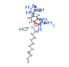 CCCCCCCCCCCCOc1ccc(NC(=N)N)cc1NC(=N)N.Cl